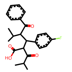 CC(C)C(=O)C(C(=O)O)C(c1ccc(F)cc1)C(C(=O)c1ccccc1)C(C)C